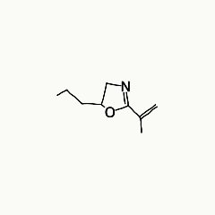 C=C(C)C1=NCC(CCC)O1